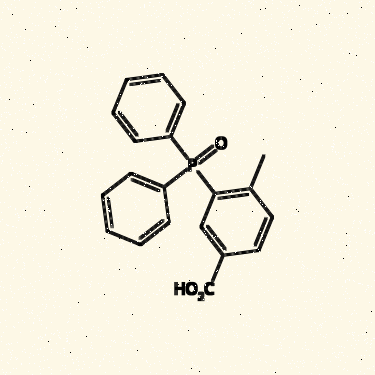 Cc1ccc(C(=O)O)cc1P(=O)(c1ccccc1)c1ccccc1